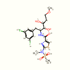 COCCC(O)C(O)C(Cc1cc(F)cc(F)c1)NC(=O)c1csc(N(C)S(C)(=O)=O)n1